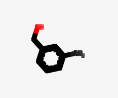 O=[N+]([O-])c1c[c]cc(CO)c1